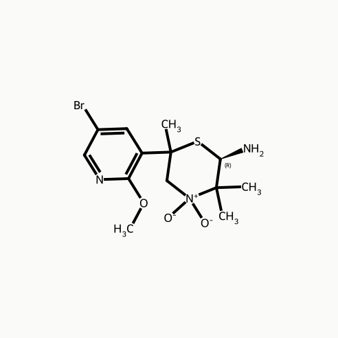 COc1ncc(Br)cc1C1(C)C[N+]([O-])([O-])C(C)(C)[C@H](N)S1